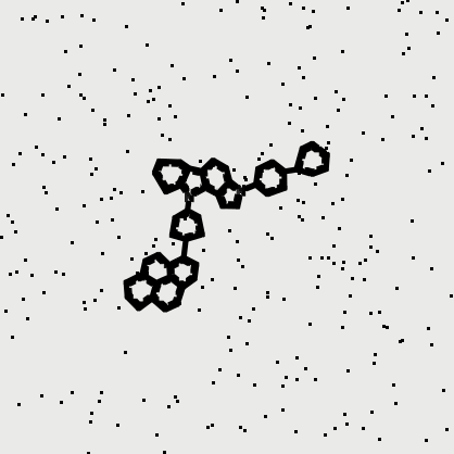 c1ccc(-c2ccc(-n3ccc4c3ccc3c5ccccc5n(-c5ccc(-c6ccc7ccc8cccc9ccc6c7c89)cc5)c34)cc2)cc1